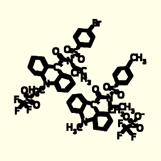 CC(C)N(C(=O)[c+]1c2ccccc2n(C)c2ccccc21)S(=O)(=O)c1ccc(Br)cc1.Cc1ccc(S(=O)(=O)N(C(=O)[c+]2c3ccccc3n(C)c3ccccc32)C(C)C)cc1.O=S(=O)([O-])C(F)(F)F.O=S(=O)([O-])C(F)(F)F